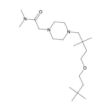 CN(C)C(=O)CN1CCN(CC(C)(C)CCOCCC(C)(C)C)CC1